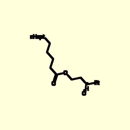 CCCCCCCCCCCC(=O)OCC[PH](=O)CC